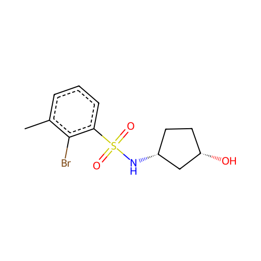 Cc1cccc(S(=O)(=O)N[C@@H]2CC[C@H](O)C2)c1Br